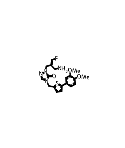 COc1ccc(-c2ccc(Cn3cnn(C/C(=C/F)CN)c3=O)s2)cc1OC